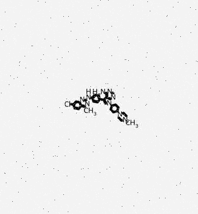 Cc1nc(Nc2ccc(-c3cn([C@H]4CC[C@@H](N5CCN(C)CC5)CC4)c4ncnc(N)c34)cc2)nc2cc(Cl)ccc12